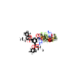 CC1(OC(=O)c2cc(C(=O)NS(=O)(=O)C(F)(F)C(F)(F)C(F)(F)S(=O)(=O)NS(=O)(=O)C(F)(F)F)cc(C(=O)OC3(C)CCCC3)c2)CCCC1